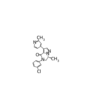 Cc1cc(-c2cnn3c2C(=O)N(c2cccc(Cl)c2)C[C@@H]3C)ccn1